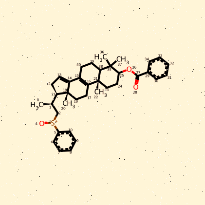 C[C@H](C[S+]([O-])c1ccccc1)[C@H]1CC=C2C3=C(CC[C@@]21C)[C@@]1(C)CCC(OC(=O)c2ccccc2)C(C)(C)C1CC3